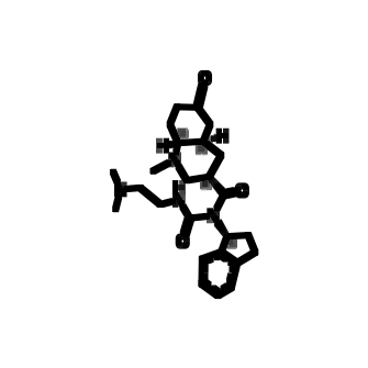 CN(C)CCNC(=O)N(C(=O)[C@@H]1C[C@@H]2CC(=O)CC[C@H]2N(C)C1)[C@H]1CCc2ccccc21